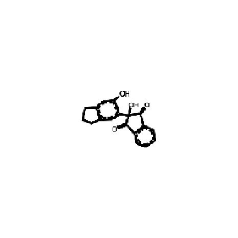 O=C1c2ccccc2C(=O)C1(O)c1cc2c(cc1O)CCC2